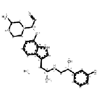 CC1CN([C@H](C=O)Oc2cccc3c(C[C@@H](C)NC[C@H](O)c4cccc(Cl)c4)c[nH]c23)CCO1.Cl